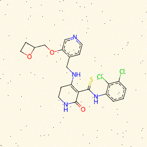 O=C1NCCC(NCc2ccncc2OCC2CCO2)=C1C(=S)Nc1cccc(Cl)c1Cl